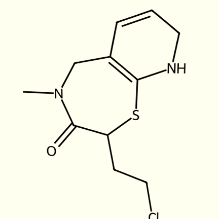 CN1CC2=C(NCC=C2)SC(CCCl)C1=O